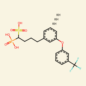 O=P(O)(O)C(CCCc1cccc(Oc2cccc(C(F)(F)F)c2)c1)S(=O)(=O)O.[KH].[KH].[KH]